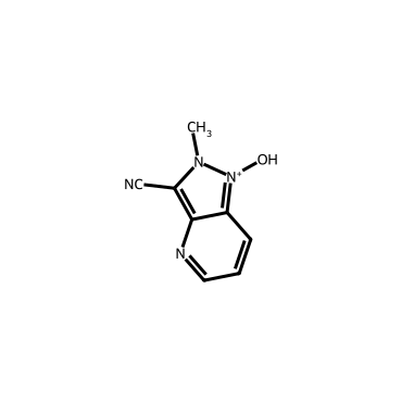 Cn1c(C#N)c2ncccc2[n+]1O